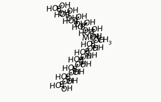 CNC.OB(O)O.OB(O)O.OB(O)O.OB(O)O.OB(O)O.OB(O)O.OB(O)O.OB(O)O.OB(O)O.OB(O)O.OB(O)O